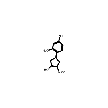 CNC1CN(c2ccc(N)cc2C)CC1O